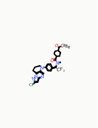 COC(=O)C1CCC(C(=O)N(C)[C@@H](c2ccc(N3CCCc4c3cnc3cc(Cl)nn43)cc2)C(F)(F)F)CC1